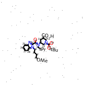 COCCCCn1c(C(=O)N(CC(C)C)C2CC(C(=O)O)CN(C(=O)OC(C)(C)C)C2)nc2ccccc21